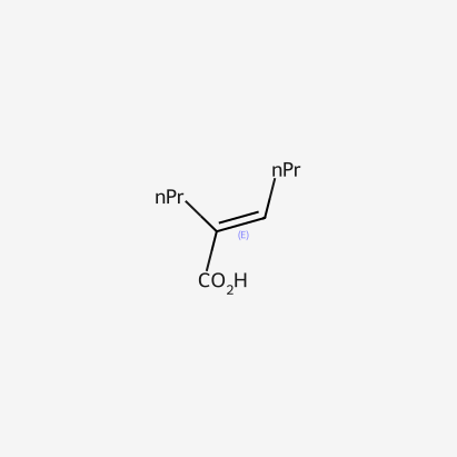 CCC/C=C(\CCC)C(=O)O